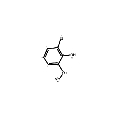 CCCOc1cccc(CC)c1O